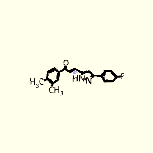 Cc1ccc(C(=O)/C=C/c2cc(-c3ccc(F)cc3)n[nH]2)cc1C